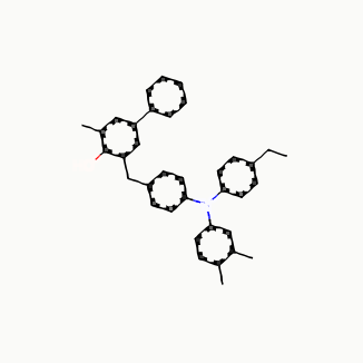 CCc1ccc(N(c2ccc(Cc3cc(-c4ccccc4)cc(C)c3O)cc2)c2ccc(C)c(C)c2)cc1